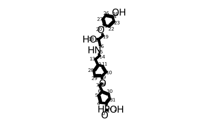 O=[PH](O)c1ccc(COc2ccc(CCNCC(O)COc3ccc(O)cc3)cc2)cc1